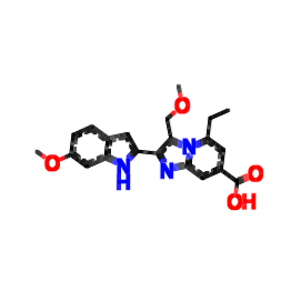 CCc1cc(C(=O)O)cc2nc(-c3cc4ccc(OC)cc4[nH]3)c(COC)n12